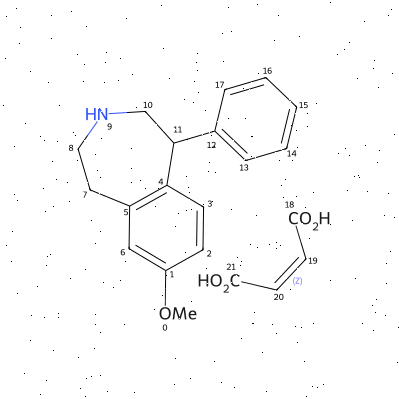 COc1ccc2c(c1)CCNCC2c1ccccc1.O=C(O)/C=C\C(=O)O